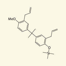 C=CCc1cc(C(C)(C)c2ccc(O[Si](C)(C)C)c(CC=C)c2)ccc1OC